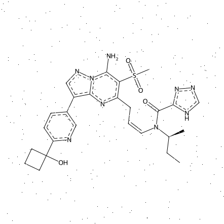 CC[C@H](C)N(/C=C\Cc1nc2c(-c3ccc(C4(O)CCC4)nc3)cnn2c(N)c1S(C)(=O)=O)C(=O)c1nnc[nH]1